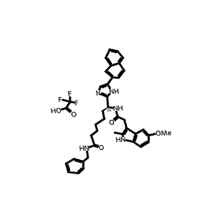 COc1ccc2[nH]c(C)c(CC(=O)N[C@@H](CCCCCC(=O)NCc3ccccc3)c3ncc(-c4ccc5ccccc5c4)[nH]3)c2c1.O=C(O)C(F)(F)F